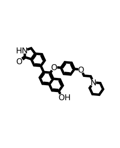 O=C1NCc2ccc(-c3ccc4cc(O)ccc4c3Oc3ccc(OCCN4CCCCC4)cc3)cc21